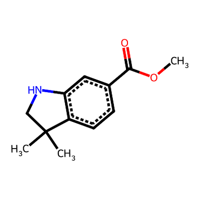 COC(=O)c1ccc2c(c1)NCC2(C)C